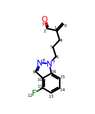 C=C(C=O)CCCn1ncc2c(F)cccc21